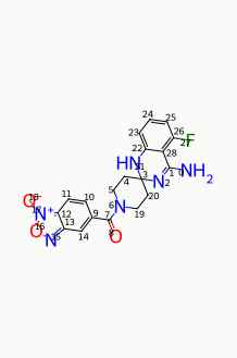 NC1=NC2(CCN(C(=O)c3ccc4c(c3)no[n+]4[O-])CC2)Nc2cccc(F)c21